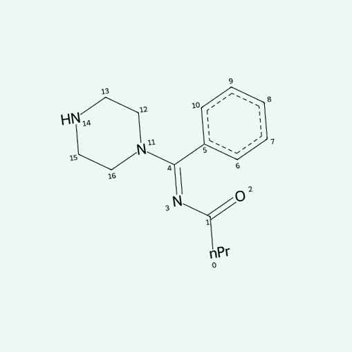 CCCC(=O)/N=C(\c1ccccc1)N1CCNCC1